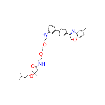 Cc1ccc2c(c1)N=C(c1ccc(-c3cccc(N(C)CCOCCOCCNC(=O)CC(C)(C)OCCC(C)C)c3)cc1)CO2